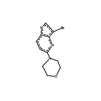 Brc1cnc2ccc(N3CCOCC3)nn12